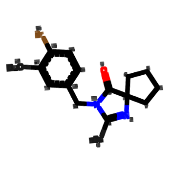 CCCCC1=NC2(CCCC2)C(=O)N1Cc1ccc(Br)c(OCC(C)C)c1